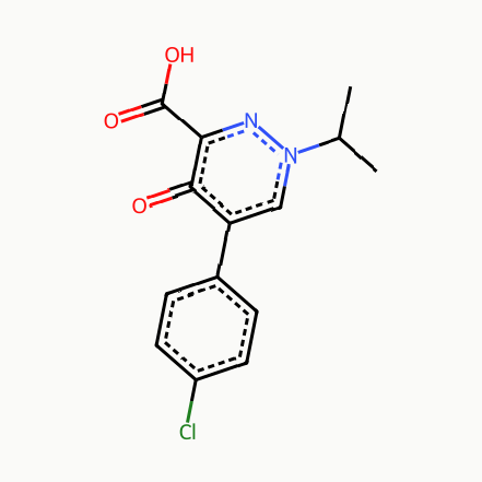 CC(C)n1cc(-c2ccc(Cl)cc2)c(=O)c(C(=O)O)n1